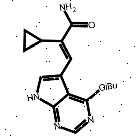 CC(C)COc1ncnc2[nH]cc(C=C(C(N)=O)C3CC3)c12